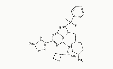 CC1CCC(Cn2c(C(F)(F)c3ccccc3)nc3nc(-c4noc(=O)[nH]4)nc(N[C@H](C)C4CCC4)c32)CC1